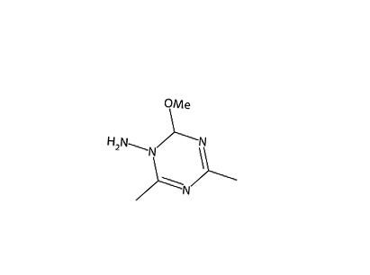 COC1N=C(C)N=C(C)N1N